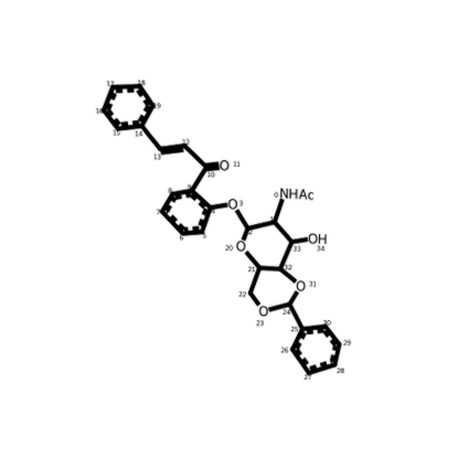 CC(=O)NC1C(Oc2ccccc2C(=O)/C=C/c2ccccc2)OC2COC(c3ccccc3)OC2C1O